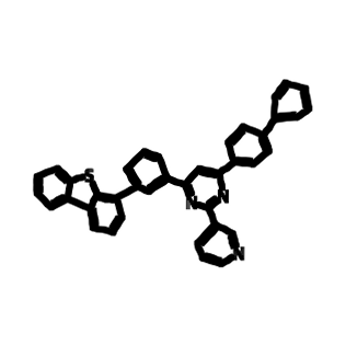 c1ccc(-c2ccc(-c3cc(-c4cccc(-c5cccc6c5sc5ccccc56)c4)nc(-c4cccnc4)n3)cc2)cc1